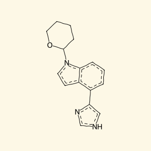 c1cc(-c2c[nH]cn2)c2ccn(C3CCCCO3)c2c1